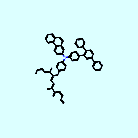 C=C/C=C\C(=C)/C(C)=C/C=C(Cc1ccc(N(c2ccc(-c3cc(-c4ccccc4)ccc3-c3ccccc3)cc2)c2ccc3c(ccc4ccccc43)c2)cc1)/C(C)=C/C=C\C